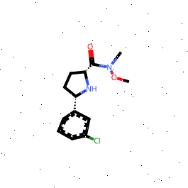 CON(C)C(=O)[C@H]1CC[C@@H](c2cccc(Cl)c2)N1